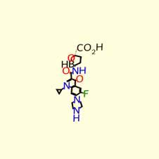 O=C(O)C[C@@H]1CC[C@H](NC(=O)c2cn(C3CC3)c3cc(N4CCNCC4)c(F)cc3c2=O)BO1